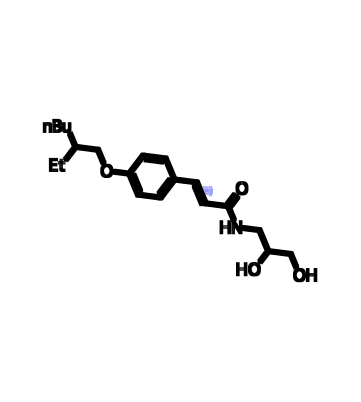 CCCCC(CC)COc1ccc(/C=C/C(=O)NCC(O)CO)cc1